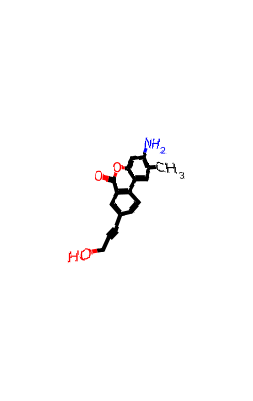 Cc1cc2c(cc1N)oc(=O)c1cc(C#CCO)ccc12